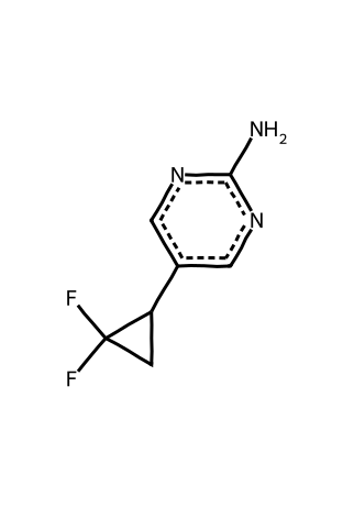 Nc1ncc(C2CC2(F)F)cn1